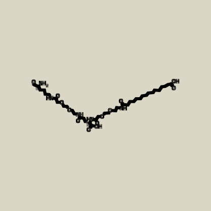 N[C@H]([C]=O)CCCCNC(=O)COCCOCCNC(=O)CC[C@H](NC(=O)COCCOCCNC(=O)CCCCCCCCCCCCCCC(=O)O)C(=O)O